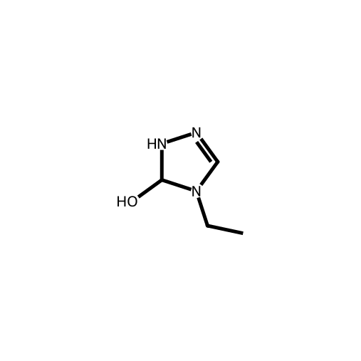 CCN1C=NNC1O